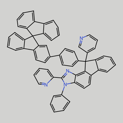 c1ccc(-n2c(-c3ccccn3)nc3c4c(ccc32)-c2ccccc2C4(c2ccc(-c3ccc4c(c3)C3(c5ccccc5-c5ccccc53)c3ccccc3-4)cc2)c2cccnc2)cc1